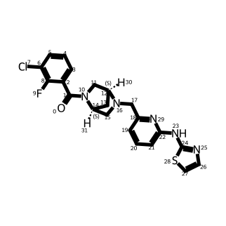 O=C(c1cccc(Cl)c1F)N1C[C@@H]2C[C@H]1CN2Cc1cccc(Nc2nccs2)n1